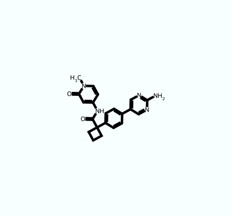 Cn1ccc(NC(=O)C2(c3ccc(-c4cnc(N)nc4)cc3)CCC2)cc1=O